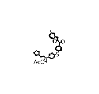 CC(=O)ON=C(CCC1CCCC1)c1ccc(Sc2ccc(C(=O)c3cc4cc(C)ccc4o3)cc2)cc1